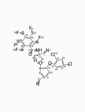 C[C@@](C#N)(COc1cc(C#N)ccc1Oc1ccc(Cl)cc1Cl)NC(=O)c1c(SF)c(SF)c(SF)c(SF)c1SF